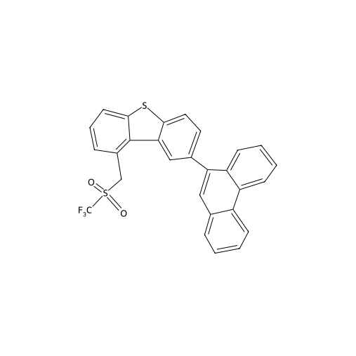 O=S(=O)(Cc1cccc2sc3ccc(-c4cc5ccccc5c5ccccc45)cc3c12)C(F)(F)F